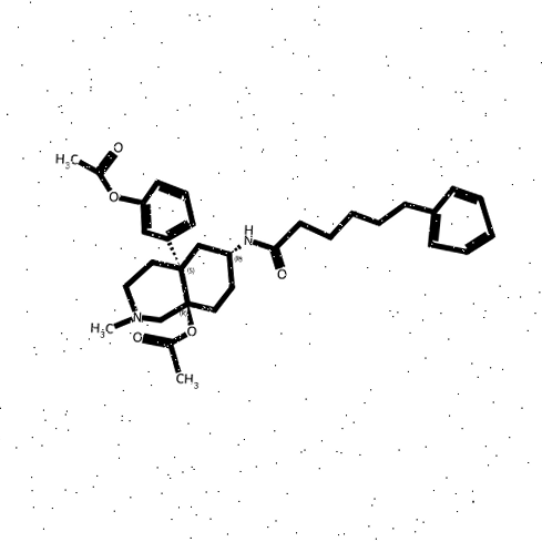 CC(=O)Oc1cccc([C@@]23CCN(C)C[C@@]2(OC(C)=O)CC[C@@H](NC(=O)CCCCCc2ccccc2)C3)c1